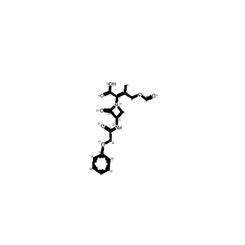 C/C(COC=O)=C(\C(=O)O)N1CC(NC(=O)COc2ccccc2)C1=O